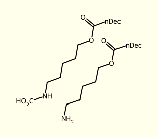 CCCCCCCCCCC(=O)OCCCCCN.CCCCCCCCCCC(=O)OCCCCCNC(=O)O